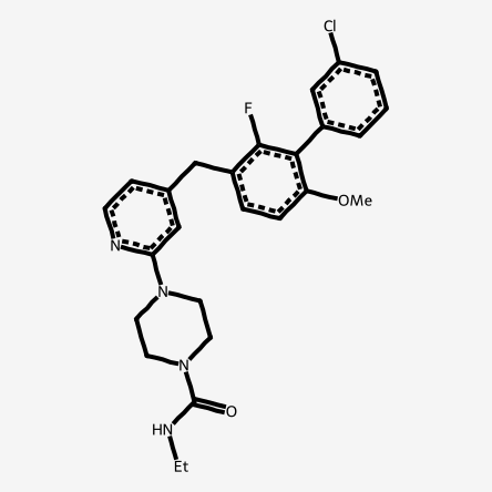 CCNC(=O)N1CCN(c2cc(Cc3ccc(OC)c(-c4cccc(Cl)c4)c3F)ccn2)CC1